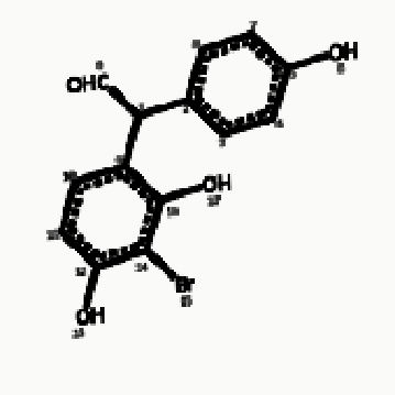 O=CC(c1ccc(O)cc1)c1ccc(O)c(Br)c1O